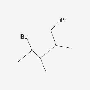 CCC(C)C(C)C(C)C(C)CC(C)C